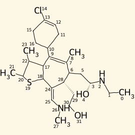 CCN[C@H](O)CC1C(C)=C(C2CC=C(Cl)CC2)C2C(SC(C)C2C)/C(=C/NC)[C@H]1CCO